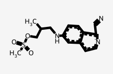 CC(CNc1ccc2c(C#N)nccc2c1)COS(C)(=O)=O